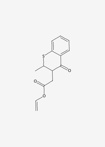 C=COC(=O)CC1C(=O)c2ccccc2SC1C